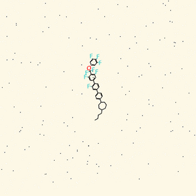 CCCCC1CCCC(c2ccc(-c3ccc(-c4cc(F)c(C(F)(F)Oc5cc(F)c(F)c(F)c5)c(F)c4)c(F)c3)cc2)CC1